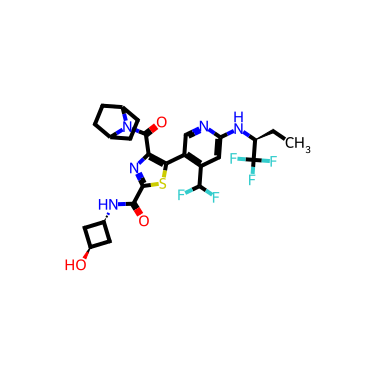 CC[C@H](Nc1cc(C(F)F)c(-c2sc(C(=O)N[C@H]3C[C@H](O)C3)nc2C(=O)N2C3CCC2CC3)cn1)C(F)(F)F